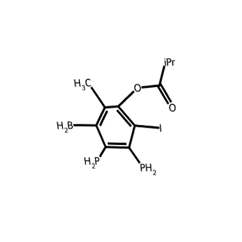 Bc1c(C)c(OC(=O)C(C)C)c(I)c(P)c1P